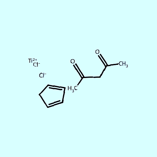 C1=CCC=C1.CC(=O)CC(C)=O.[Cl-].[Cl-].[Ti+2]